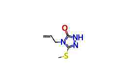 C=CCn1c(SC)n[nH]c1=O